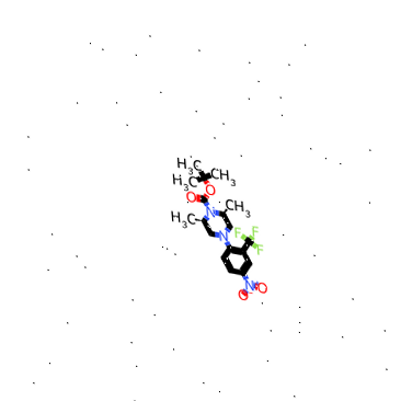 C[C@@H]1CN(c2ccc([N+](=O)[O-])cc2C(F)(F)F)C[C@H](C)N1C(=O)OC(C)(C)C